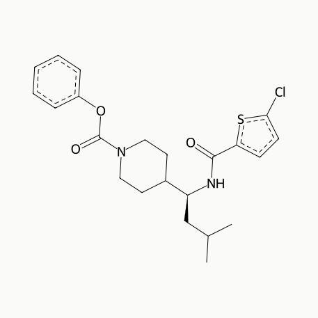 CC(C)C[C@H](NC(=O)c1ccc(Cl)s1)C1CCN(C(=O)Oc2ccccc2)CC1